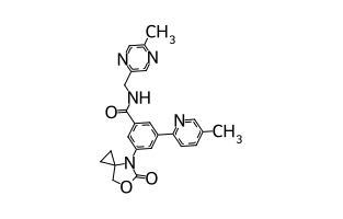 Cc1ccc(-c2cc(C(=O)NCc3cnc(C)cn3)cc(N3C(=O)OCC34CC4)c2)nc1